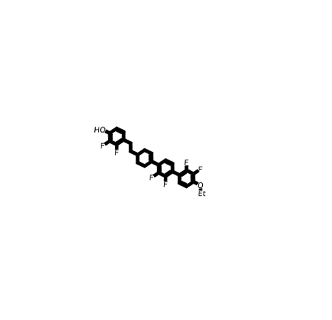 CCOc1ccc(-c2ccc(C3=CCC(CCc4ccc(O)c(F)c4F)CC3)c(F)c2F)c(F)c1F